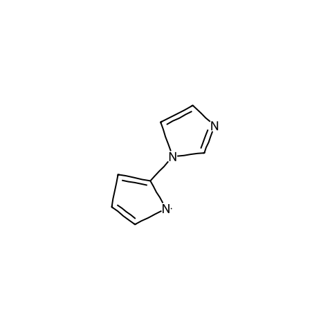 C1=C[N]C(n2ccnc2)=C1